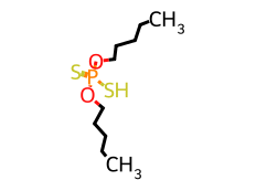 CCCCCOP(=S)(S)OCCCCC